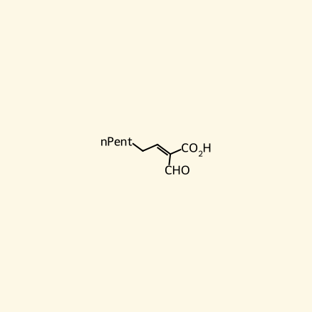 CCCCCC/C=C(\C=O)C(=O)O